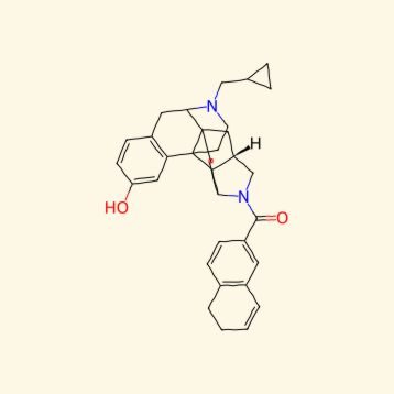 O=C(c1ccc2c(c1)C=CCC2)N1C[C@H]2CC34CCC1C2C31CCN(CC2CC2)C4Cc2ccc(O)cc21